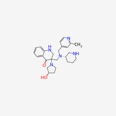 Cc1cc(CN(CC2(N3CC[C@@H](O)C3)CNc3ccccc3C2=O)[C@H]2CCCNC2)ccn1